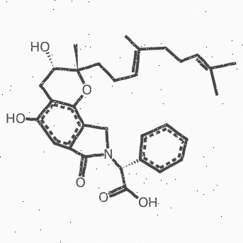 CC(C)=CCC/C(C)=C/CC[C@]1(C)Oc2c(c(O)cc3c2CN([C@@H](C(=O)O)c2ccccc2)C3=O)C[C@@H]1O